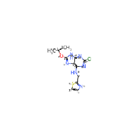 CC(C)Oc1nc2c(NCc3nccs3)nc(Cl)nc2[nH]1